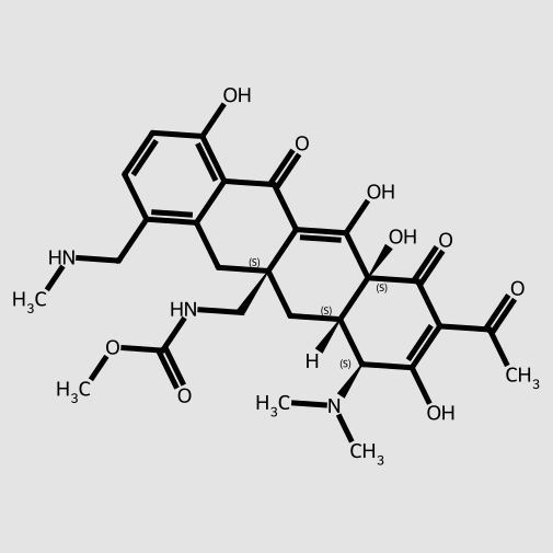 CNCc1ccc(O)c2c1C[C@@]1(CNC(=O)OC)C[C@H]3[C@H](N(C)C)C(O)=C(C(C)=O)C(=O)[C@@]3(O)C(O)=C1C2=O